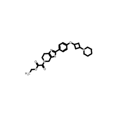 CCOC(=O)C(=O)N1CCc2nc(-c3ccc(OC4CC(N5CCCCC5)C4)cc3)sc2C1